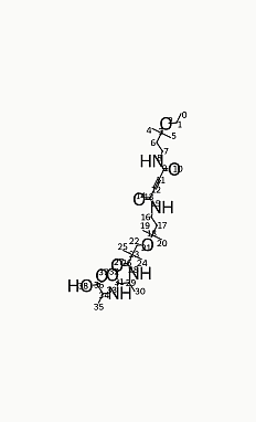 CCOC(C)(C)CCNC(=O)C#CC(=O)NCCC(C)(C)OCC(C)(C)C(=O)NC(C)C(=O)NC(C)C(=O)O